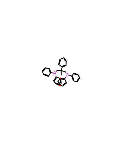 CC(CP(c1ccccc1)c1ccccc1)(CP(c1ccccc1)c1ccccc1)c1ccccc1